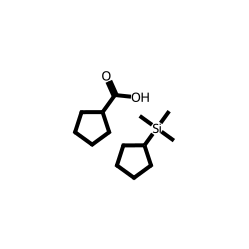 C[Si](C)(C)C1CCCC1.O=C(O)C1CCCC1